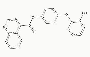 O=C(Oc1ccc(Oc2ccccc2O)cc1)c1ncnc2ccccc12